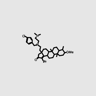 COC1CCC2(C)C(CCC3(C)C4CCC5(CCN(CCN(C)C)Cc6ccc(Cl)cc6)CC(=O)C(C(C)C)=C5C4CCC32)C1C